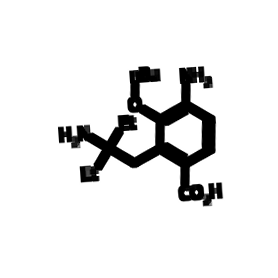 CCCCOc1c(N)ccc(C(=O)O)c1CC(N)(CC)CC